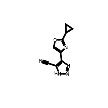 N#Cc1[nH]nnc1-c1coc(C2CC2)n1